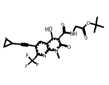 Cn1c(=O)c(C(=O)NCC(=O)OC(C)(C)C)c(O)c2cc(C#CC3CC3)c(C(F)(F)F)nc21